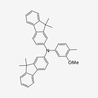 COc1cc(N(c2ccc3c(c2)C(C)(C)c2ccccc2-3)c2ccc3c(c2)C(C)(C)c2ccccc2-3)ccc1C